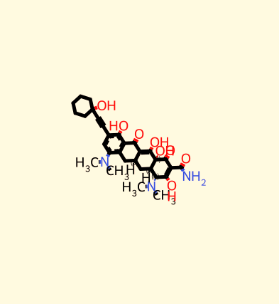 CN(C)c1cc(C#CC2(O)CCCCC2)c(O)c2c1C[C@@H]1C[C@@H]3[C@@H](N(C)C)C(O)=C(C(N)=O)C(=O)[C@]3(O)C(O)=C1C2=O